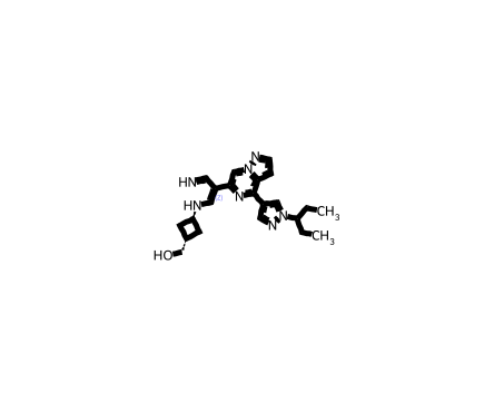 CCC(CC)n1cc(-c2nc(/C(C=N)=C/N[C@H]3C[C@@H](CO)C3)cn3nccc23)cn1